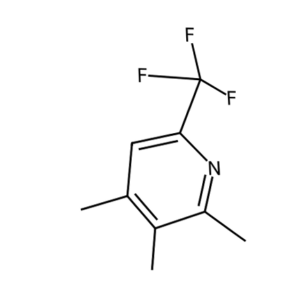 Cc1cc(C(F)(F)F)nc(C)c1C